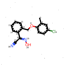 Cc1cc(Cl)ccc1OCc1ccccc1C(C#N)=NO